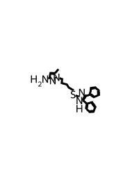 Cc1cc(N)nn1CCCCCSc1nc(-c2ccccc2)c(-c2ccccc2)[nH]1